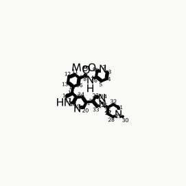 COc1ncccc1NC(=O)c1cccc(-c2c[nH]c3ncc(-c4cnn(C5CCN(C)CC5)c4)cc23)c1